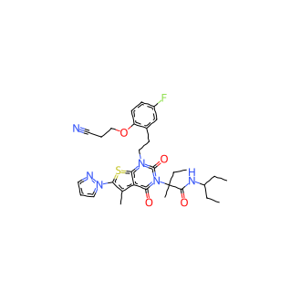 CCC(CC)NC(=O)C(C)(CC)n1c(=O)c2c(C)c(-n3cccn3)sc2n(CCc2cc(F)ccc2OCCC#N)c1=O